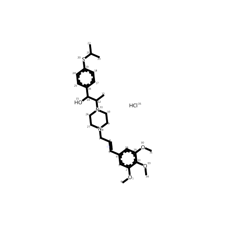 COc1cc(/C=C/CN2CCN(C(C)C(O)c3ccc(SC(C)C)cc3)CC2)cc(OC)c1OC.Cl